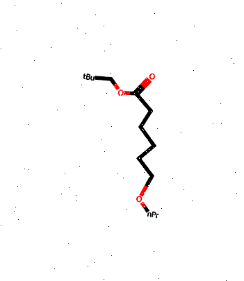 CCCOCCCCCC(=O)OCC(C)(C)C